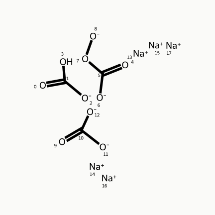 O=C([O-])O.O=C([O-])O[O-].O=C([O-])[O-].[Na+].[Na+].[Na+].[Na+].[Na+]